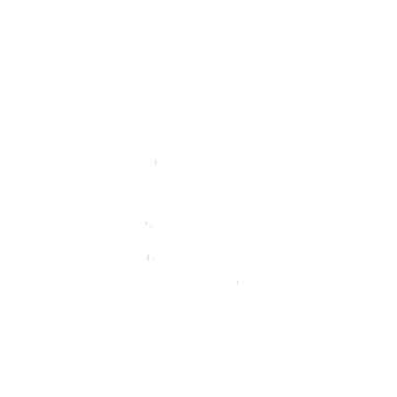 FC(F)(F)Oc1cccc(Nc2ccc(-c3ccc(C(F)(F)F)cc3)cn2)c1